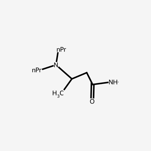 CCCN(CCC)C(C)CC([NH])=O